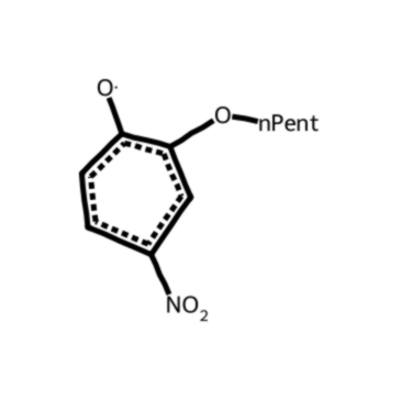 CCCCCOc1cc([N+](=O)[O-])ccc1[O]